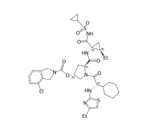 CCc1csc(N[C@H](C(=O)N2C[C@H](OC(=O)N3Cc4cccc(Cl)c4C3)C[C@H]2C(=O)N[C@]2(C(=O)NS(=O)(=O)C3CC3)C[C@H]2CC)C2CCCCC2)n1